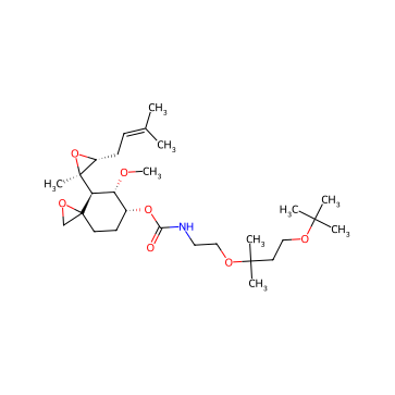 CO[C@@H]1[C@H](OC(=O)NCCOC(C)(C)CCOC(C)(C)C)CCC2(CO2)[C@H]1[C@@]1(C)O[C@@H]1CC=C(C)C